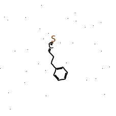 S=C=CCCc1ccccc1